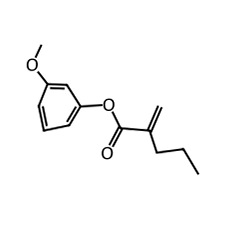 C=C(CCC)C(=O)Oc1cccc(OC)c1